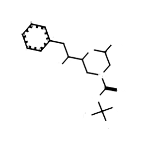 CC1CN(C(=O)OC(C)(C)C)CC(C(O)Cc2ccccc2)O1